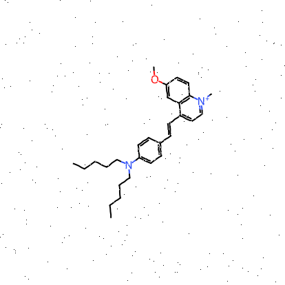 CCCCCN(CCCCC)c1ccc(C=Cc2cc[n+](C)c3ccc(OC)cc23)cc1